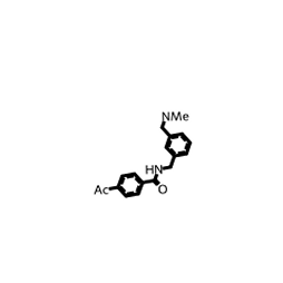 CNCc1cccc(CNC(=O)c2ccc(C(C)=O)cc2)c1